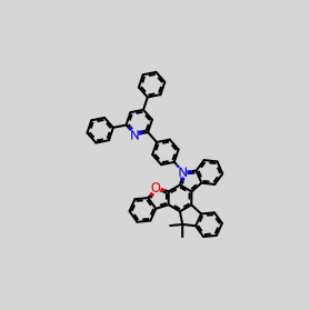 CC1(C)c2ccccc2-c2c1c1c3ccccc3oc1c1c2c2ccccc2n1-c1ccc(-c2cc(-c3ccccc3)cc(-c3ccccc3)n2)cc1